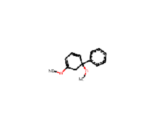 N#COC1=CC=CC(OC#N)(c2ccccc2)C1